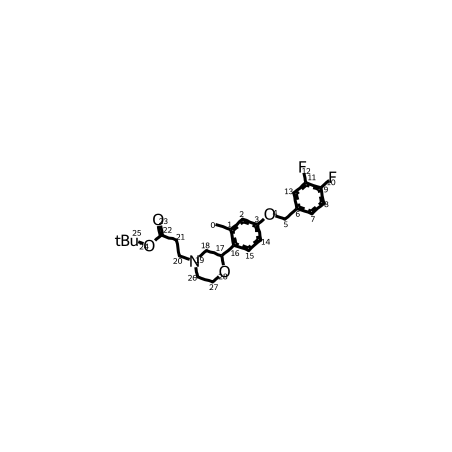 Cc1cc(OCc2ccc(F)c(F)c2)ccc1C1CN(CCC(=O)OC(C)(C)C)CCO1